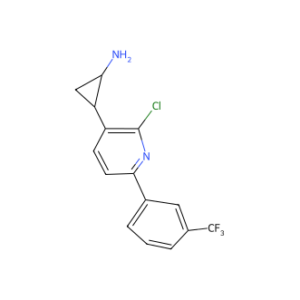 NC1CC1c1ccc(-c2cccc(C(F)(F)F)c2)nc1Cl